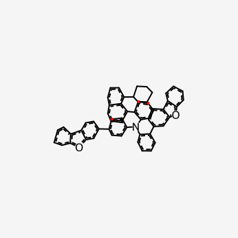 c1ccc(N(c2ccc(-c3ccc4c(c3)oc3ccccc34)cc2)c2ccccc2-c2cccc3cccc(C4CCCCC4)c23)c(-c2ccc3c(c2)oc2ccccc23)c1